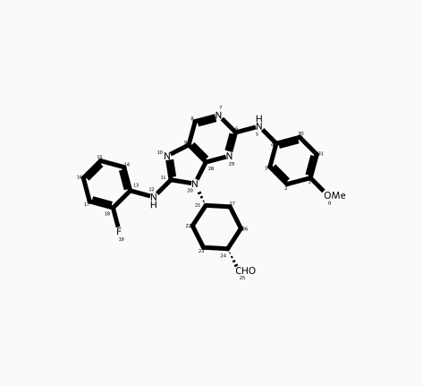 COc1ccc(Nc2ncc3nc(Nc4ccccc4F)n([C@H]4CC[C@@H](C=O)CC4)c3n2)cc1